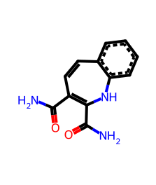 NC(=O)C1=C(C(N)=O)Nc2ccccc2C=C1